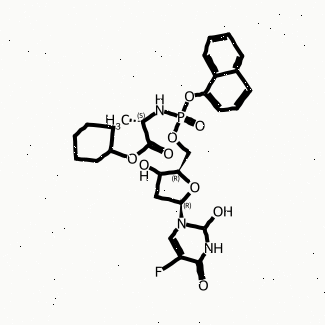 C[C@H](NP(=O)(OC[C@H]1O[C@@H](N2C=C(F)C(=O)NC2O)CC1O)Oc1cccc2ccccc12)C(=O)OC1CCCCC1